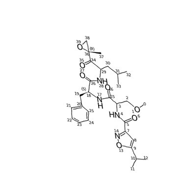 COCC(NC(=O)c1cc(C(C)C)on1)C(=O)N[C@@H](Cc1ccccc1)C(=O)NC(CC(C)C)C(=O)[C@@]1(C)CO1